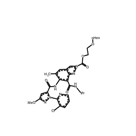 CCCCCCOCCOC(=O)n1cc2cc(C)c(NC(=O)c3cc(OC)nn3-c3ncccc3Cl)c(C(=O)NC(C)C)c2n1